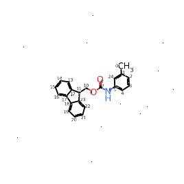 Cc1cccc(NC(=O)OCC2c3ccccc3-c3ccccc32)c1